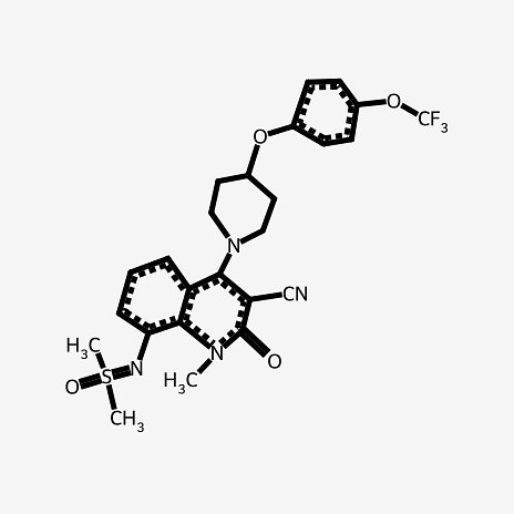 Cn1c(=O)c(C#N)c(N2CCC(Oc3ccc(OC(F)(F)F)cc3)CC2)c2cccc(N=S(C)(C)=O)c21